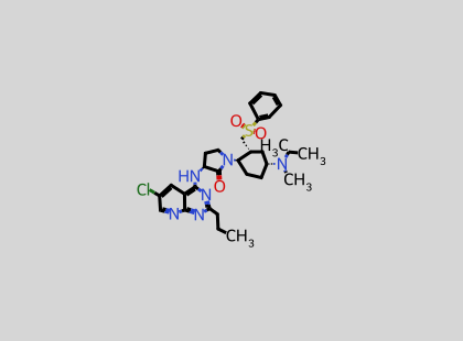 CCCc1nc(N[C@H]2CCN([C@H]3CC[C@@H](N(C)C(C)C)C[C@H]3CS(=O)(=O)c3ccccc3)C2=O)c2cc(Cl)cnc2n1